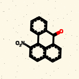 O=C1c2ccccc2-c2c([N+](=O)[O-])ccc3cccc1c23